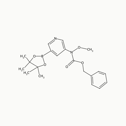 CON(C(=O)OCc1ccccc1)c1cncc(B2OC(C)(C)C(C)(C)O2)c1